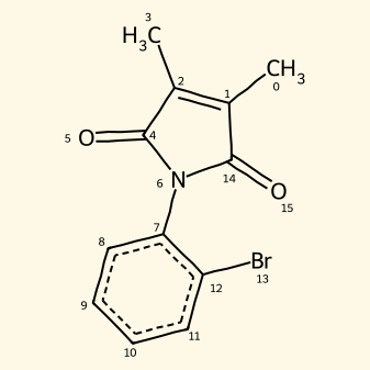 CC1=C(C)C(=O)N(c2ccccc2Br)C1=O